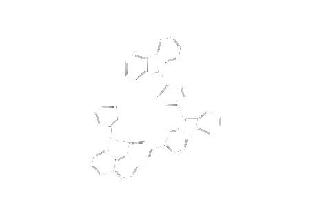 c1ccc(-n2c3cccc4ccc5cc(-c6ccc7c8ccccc8n(-c8ccc(-n9c%10ccccc%10c%10ccccc%109)cc8)c7c6)cc2c5c43)cc1